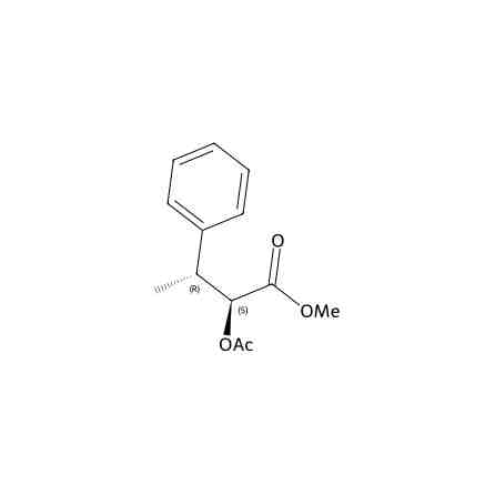 COC(=O)[C@@H](OC(C)=O)[C@H](C)c1ccccc1